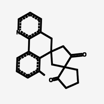 Cc1cccc2c1C1(CC(=O)C3(CCCC3=O)C1)Cc1cccnc1-2